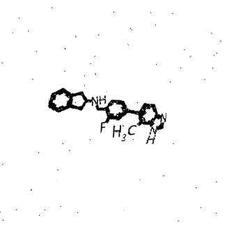 Cc1c(-c2ccc(CNC3Cc4ccccc4C3)c(F)c2)ccc2nc[nH]c12